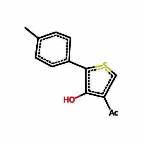 CC(=O)c1csc(-c2ccc(C)cc2)c1O